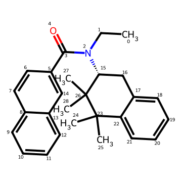 CCN(C(=O)c1ccc2ccccc2c1)[C@@H]1Cc2ccccc2C(C)(C)C1(C)C